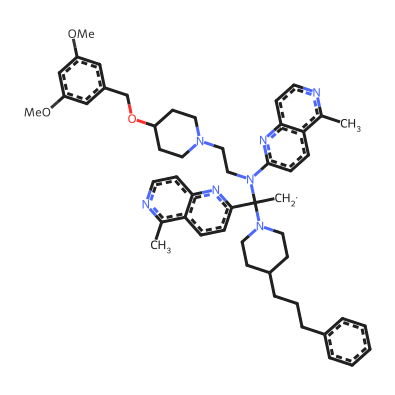 [CH2]C(c1ccc2c(C)nccc2n1)(N1CCC(CCCc2ccccc2)CC1)N(CCN1CCC(OCc2cc(OC)cc(OC)c2)CC1)c1ccc2c(C)nccc2n1